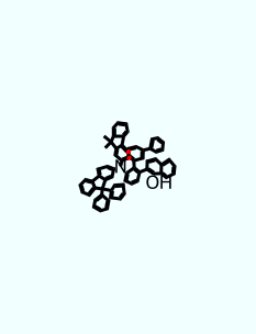 CC1(C)c2ccccc2-c2ccc(N(c3ccc4c(c3)C(c3ccccc3)(c3ccccc3)c3ccccc3-4)c3cccc(-c4ccc5ccccc5c4O)c3-c3cccc(-c4ccccc4)c3)cc21